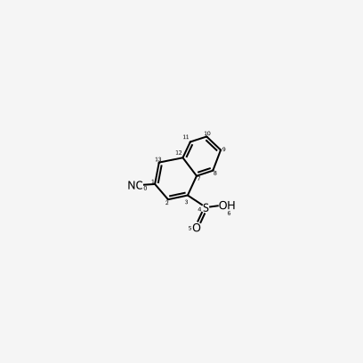 N#Cc1cc(S(=O)O)c2ccccc2c1